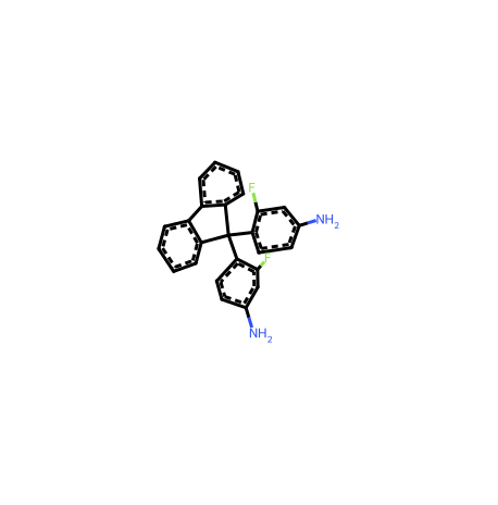 Nc1ccc(C2(c3ccc(N)cc3F)c3ccccc3-c3ccccc32)c(F)c1